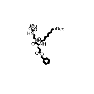 CCCCCCCCCCCCCCCCC(=O)N[C@@H](CCC(=O)OCc1ccccc1)C(=O)NCCNC(=O)OC(C)(C)C